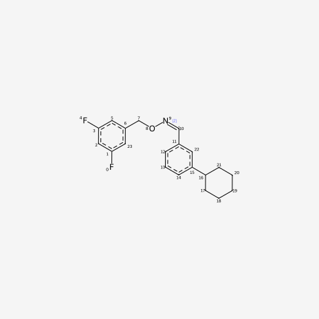 Fc1cc(F)cc(CO/N=[C]\c2cccc(C3CCCCC3)c2)c1